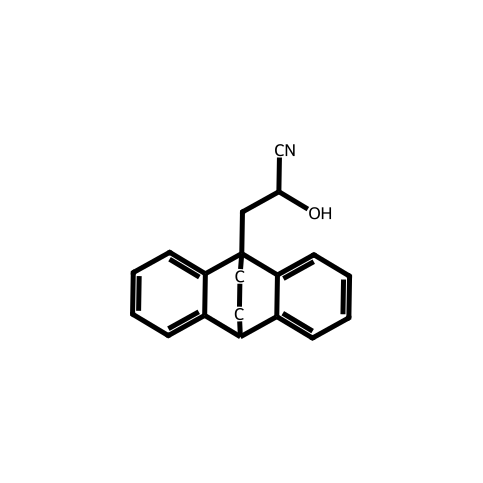 N#CC(O)CC12CCC(c3ccccc31)c1ccccc12